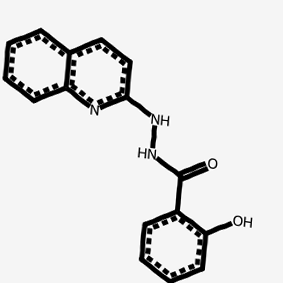 O=C(NNc1ccc2ccccc2n1)c1ccccc1O